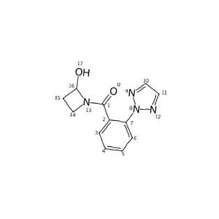 O=C(c1ccccc1-n1nccn1)N1CCC1O